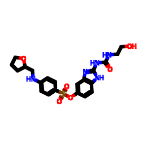 O=C(NCCO)Nc1nc2cc(OS(=O)(=O)c3ccc(NCC4CCCO4)cc3)ccc2[nH]1